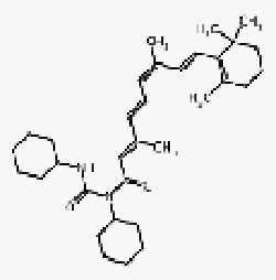 CC1=C(/C=C/C(C)=C\C=C\C(C)=C\C(=O)N(C(=O)NC2CCCCC2)C2CCCCC2)C(C)(C)CCC1